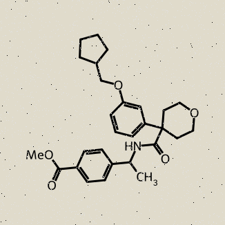 COC(=O)c1ccc(C(C)NC(=O)C2(c3cccc(OCC4CCCC4)c3)CCOCC2)cc1